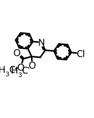 COC(=O)C1(OC)CC(c2ccc(Cl)cc2)=Nc2ccccc21